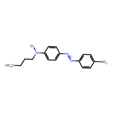 CCN(CCCC(=O)O)c1ccc(/N=N/c2ccc([N+](=O)[O-])cc2)cc1